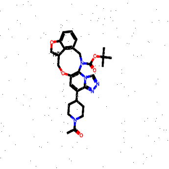 CC(=O)N1CCC(c2cc3c(n4cnnc24)N(C(=O)OC(C)(C)C)Cc2cccc4c2[C@H](CO4)CO3)CC1